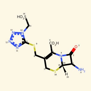 NC1C(=O)N2C(C(=O)O)=C(CSc3nnnn3CS(=O)(=O)O)CS[C@@H]12